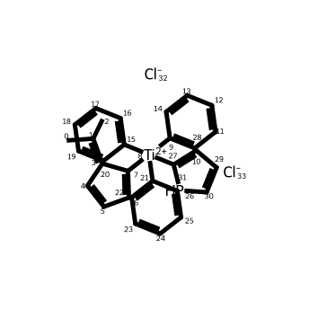 CC(C)=C1C=CC=[C]1[Ti+2]([c]1ccccc1)([c]1ccccc1)([c]1ccccc1)[c]1ccc[pH]1.[Cl-].[Cl-]